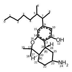 CCCCCC(C)C(C)c1cc(O)c2c(c1)OC(C)(C)[C@@H]1CCC(N)C[C@@H]21